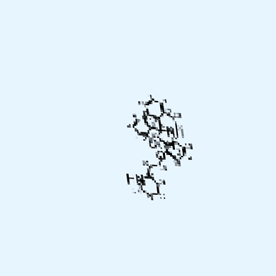 COc1cccc(F)c1C1(Cc2ccccc2OCCC2CCCCN2)NCCc2ccccc21